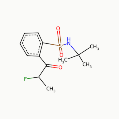 CC(F)C(=O)c1ccccc1S(=O)(=O)NC(C)(C)C